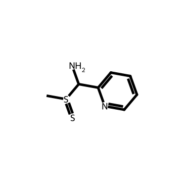 CS(=S)C(N)c1ccccn1